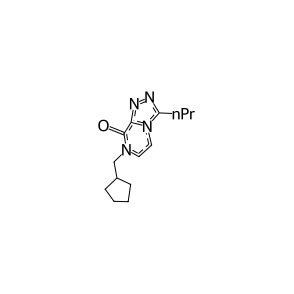 CCCc1nnc2c(=O)n(CC3CCCC3)ccn12